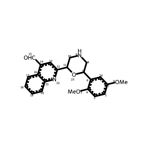 COc1ccc(OC)c(C2CNCC(c3cc(C=O)c4ccccc4n3)O2)c1